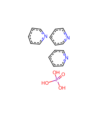 O=P(O)(O)O.c1ccncc1.c1ccncc1.c1ccncc1